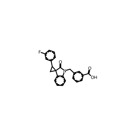 O=C(O)c1cccc(CN2C(=O)C3(CC3c3cccc(F)c3)c3ccccc32)c1